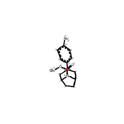 CC(C)(C)OC(=O)N1C2CCC1CN(c1ccc(N)cc1)C2